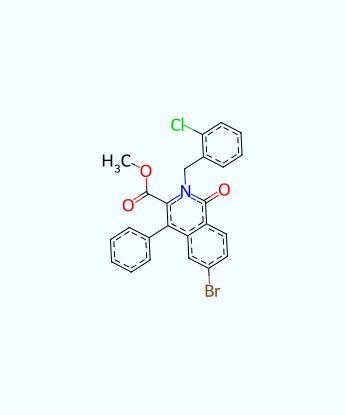 COC(=O)c1c(-c2ccccc2)c2cc(Br)ccc2c(=O)n1Cc1ccccc1Cl